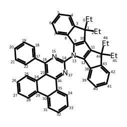 CCC1(CC)c2ccccc2-c2c1c1c(n2-c2nc(-c3ccccc3)c3c4ccccc4c4ccccc4c3n2)-c2ccccc2C1(CC)CC